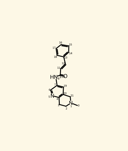 CN1CCc2ncc(NC(=O)C=Cc3ccccc3)cc2C1